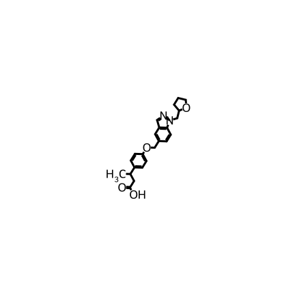 CC(CC(=O)O)c1ccc(OCc2ccc3c(cnn3CC3CCCO3)c2)cc1